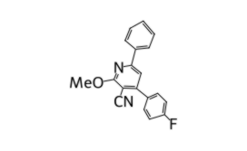 COc1nc(-c2ccccc2)cc(-c2ccc(F)cc2)c1C#N